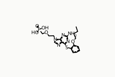 CCCCOc1ccccc1Sc1nc(N)nc2c1ncn2CCOCP(=O)(O)O